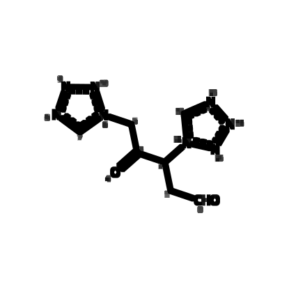 O=CCC(C(=O)Cn1cnnn1)n1cnnn1